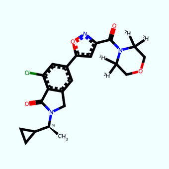 [2H]C1([2H])COCC([2H])([2H])N1C(=O)c1cc(-c2cc(Cl)c3c(c2)CN([C@@H](C)C2CC2)C3=O)on1